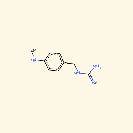 CC(C)(C)Nc1ccc(CNC(=N)N)cc1